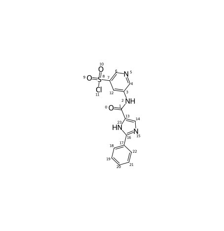 O=C(Nc1cncc(S(=O)(=O)Cl)c1)c1cnc(-c2ccccc2)[nH]1